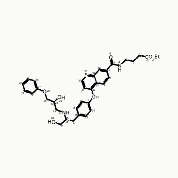 CCOC(=O)CCCNC(=O)c1ccc2c(Oc3ccc(C[C@@H](CO)NC[C@H](O)COc4ccccc4)cc3)ccnc2c1